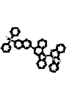 O=P(c1ccccc1)(c1ccccc1)c1ccc2cc(-c3cc4c5ccccc5n(-c5nc6ccccc6c6nc7ccccc7n56)c4c4ccccc34)ccc2c1